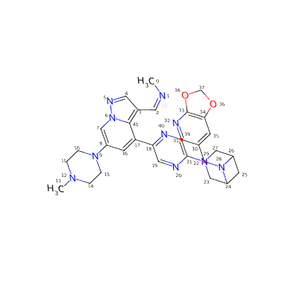 C/N=C\c1cnn2cc(N3CCN(C)CC3)cc(-c3cnc(N4CC5CC(C4)N5Cc4cnc5c(c4)OCO5)cn3)c12